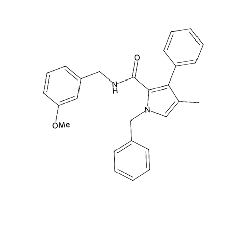 COc1cccc(CNC(=O)c2c(-c3ccccc3)c(C)cn2Cc2ccccc2)c1